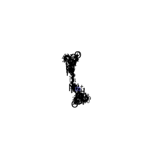 O=C1C=C2C[C@H](n3cc(CCCCC4=C/[N+](=C/C5CC6=CC(=O)O[C@@]67C[C@@H]5N5CCCC[C@@H]57)N=N4)nn3)[C@@H]3C[C@@]2(O1)C1CCCCN13